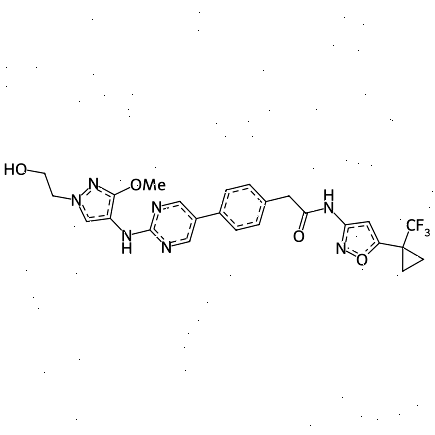 COc1nn(CCO)cc1Nc1ncc(-c2ccc(CC(=O)Nc3cc(C4(C(F)(F)F)CC4)on3)cc2)cn1